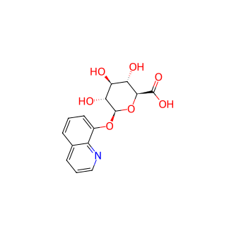 O=C(O)[C@H]1O[C@@H](Oc2cccc3cccnc23)[C@H](O)[C@@H](O)[C@@H]1O